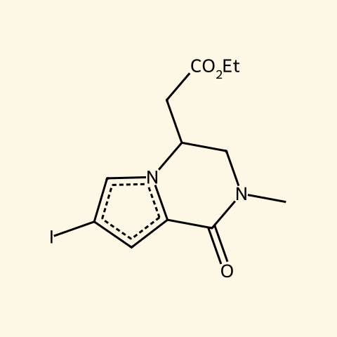 CCOC(=O)CC1CN(C)C(=O)c2cc(I)cn21